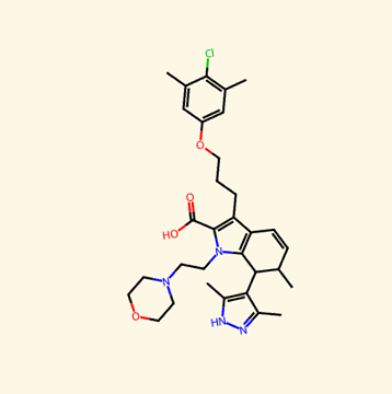 Cc1cc(OCCCc2c3c(n(CCN4CCOCC4)c2C(=O)O)C(c2c(C)n[nH]c2C)C(C)C=C3)cc(C)c1Cl